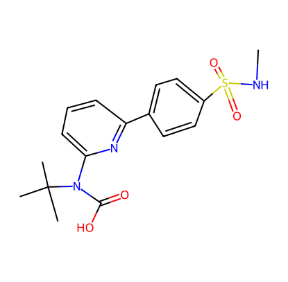 CNS(=O)(=O)c1ccc(-c2cccc(N(C(=O)O)C(C)(C)C)n2)cc1